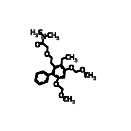 CCc1c(OCOC)cc(OCOC)c(-c2ccccc2)c1CCOCC(=O)N(C)C